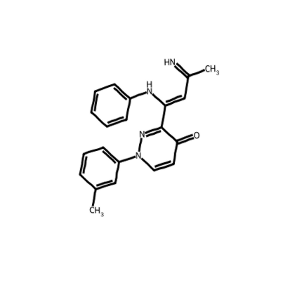 CC(=N)/C=C(\Nc1ccccc1)c1nn(-c2cccc(C)c2)ccc1=O